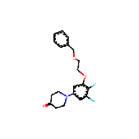 O=C1CCN(c2cc(F)c(F)c(OCCOCc3ccccc3)c2)CC1